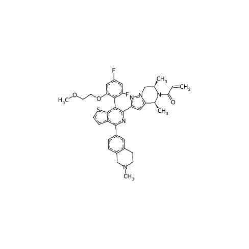 C=CC(=O)N1[C@H](C)Cn2nc(-c3nc(-c4ccc5c(c4)CCN(C)C5)c4ccsc4c3-c3c(F)cc(F)cc3OCCOC)cc2[C@@H]1C